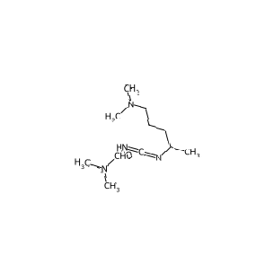 CC(CCCN(C)C)N=C=N.CN(C)C=O